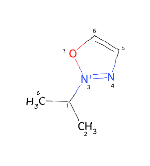 CC(C)[n+]1ncco1